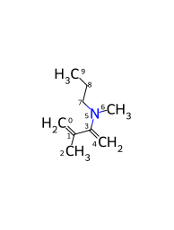 C=C(C)C(=C)N(C)CCC